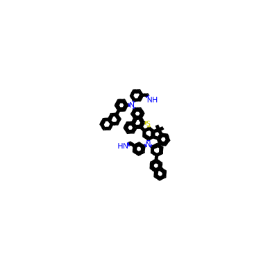 CC1(C)C2=C(C(N(C3=CC=CC(c4ccc5ccccc5c4)C3)c3cccc(C=N)c3)=CC3c4c(c5ccc(N(c6cccc(C7=CCC8CCC=CC8=C7)c6)C6C=C(C=N)C=CC6)cc5c5ccccc45)SC23)c2ccccc21